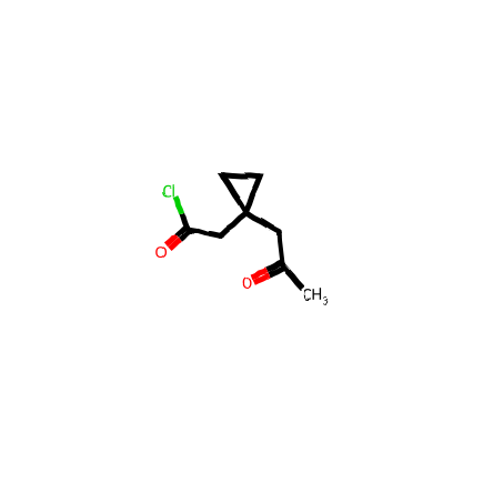 CC(=O)CC1(CC(=O)Cl)CC1